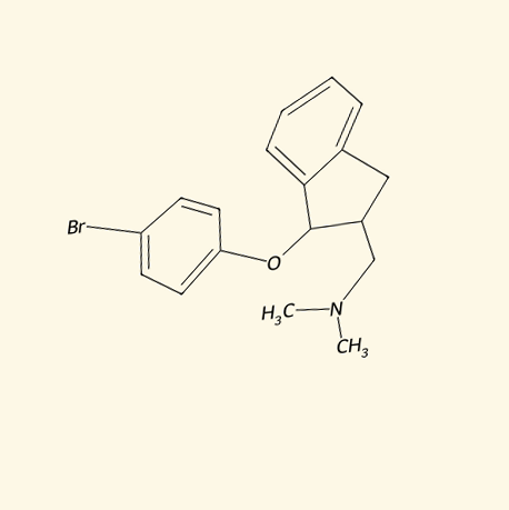 CN(C)CC1Cc2ccccc2C1Oc1ccc(Br)cc1